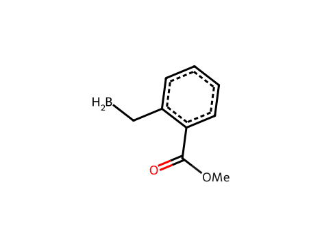 BCc1ccccc1C(=O)OC